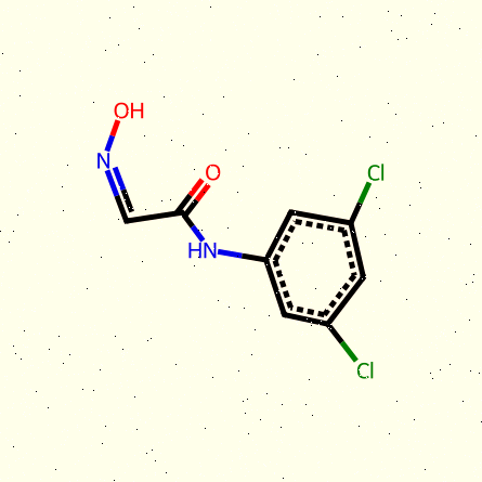 O=C(/C=N\O)Nc1cc(Cl)cc(Cl)c1